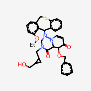 CCOc1cccc2c1C(N1CN(CC3CC3CO)C(=O)C3C(OCc4ccccc4)C(=O)C=CN31)c1ccccc1SC2